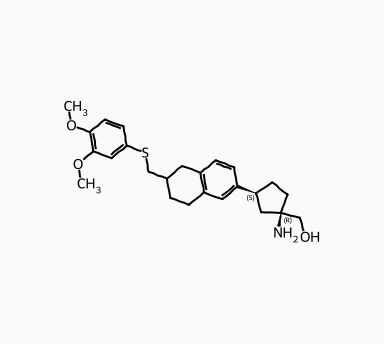 COc1ccc(SCC2CCc3cc([C@H]4CC[C@](N)(CO)C4)ccc3C2)cc1OC